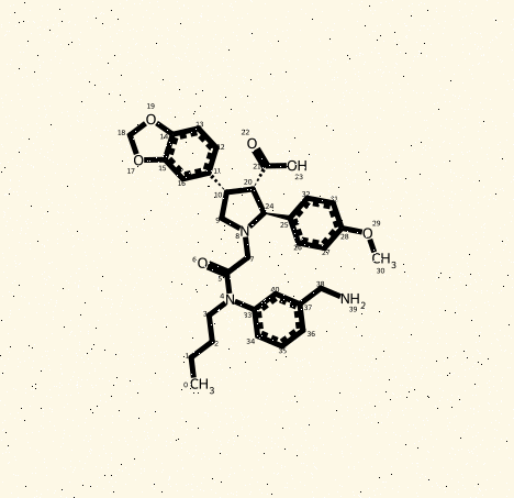 CCCCN(C(=O)CN1C[C@H](c2ccc3c(c2)OCO3)[C@H](C(=O)O)[C@H]1c1ccc(OC)cc1)c1cccc(CN)c1